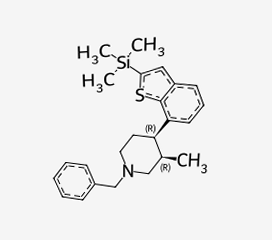 C[C@H]1CN(Cc2ccccc2)CC[C@H]1c1cccc2cc([Si](C)(C)C)sc12